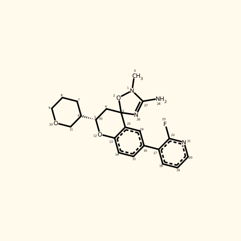 CN1OC2(C[C@@H](C3CCCOC3)Oc3ccc(-c4cccnc4F)cc32)N=C1N